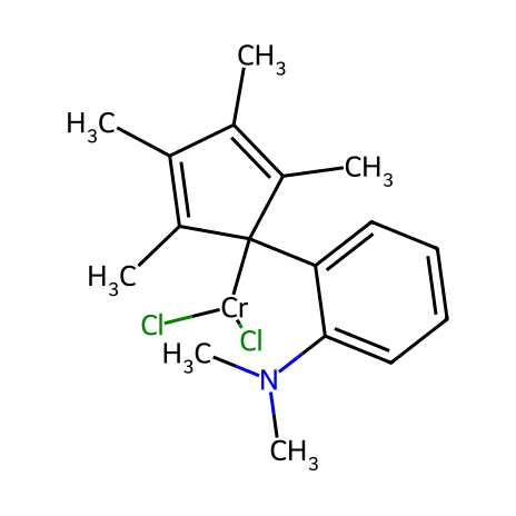 CC1=C(C)[C](c2ccccc2N(C)C)([Cr]([Cl])[Cl])C(C)=C1C